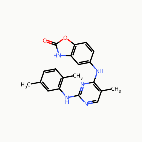 Cc1ccc(C)c(Nc2ncc(C)c(Nc3ccc4oc(=O)[nH]c4c3)n2)c1